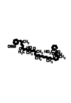 CO[C@H]1CCC[C@@H](C[C@@H](C)CCC(=O)[C@H](C)/C=C(\C)[C@@H](O)CC(=O)[C@H](C)C[C@H](C)/C=C/C=C/C=C(\C)CC[C@@H]2CC[C@@H](C)[C@](O)(C(=O)C(=O)N3CCCC[C@H]3C(=O)O)O2)C1